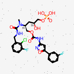 CN(C(=O)NCc1cccc(F)c1Cl)[C@H](COC(=O)Nc1cc(-c2cccc(F)c2)on1)C[C@H](O)COP(=O)(O)O